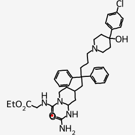 CCOC(=O)CNC(=O)N1CCC(CC(CCCN2CCC(O)(c3ccc(Cl)cc3)CC2)(c2ccccc2)c2ccccc2)CC1NC(N)=O